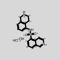 Cl.Cl.O=S(=O)(Nc1cccc2c1CCNC2)c1cccc2cnccc12